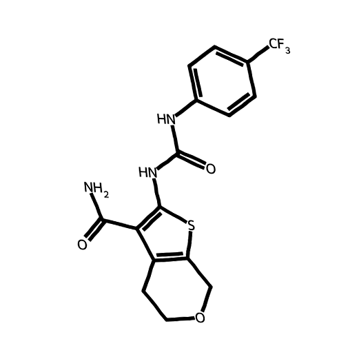 NC(=O)c1c(NC(=O)Nc2ccc(C(F)(F)F)cc2)sc2c1CCOC2